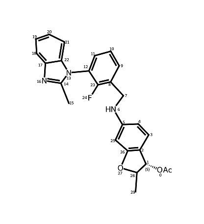 CC(=O)O[C@H]1c2ccc(NCc3cccc(-n4c(C)nc5ccccc54)c3F)cc2OC1C